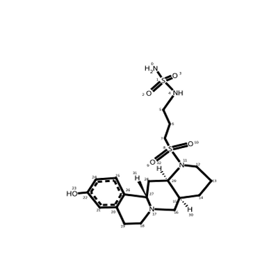 NS(=O)(=O)NCCCS(=O)(=O)N1CCC[C@H]2CN3CCc4cc(O)ccc4[C@@H]3C[C@H]21